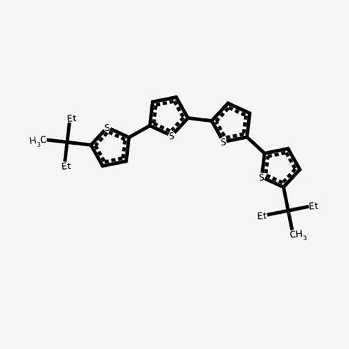 CCC(C)(CC)c1ccc(-c2ccc(-c3ccc(-c4ccc(C(C)(CC)CC)s4)s3)s2)s1